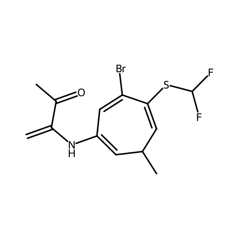 C=C(NC1=CC(C)C=C(SC(F)F)C(Br)=C1)C(C)=O